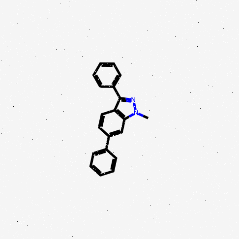 Cn1nc(-c2ccccc2)c2ccc(-c3ccccc3)cc21